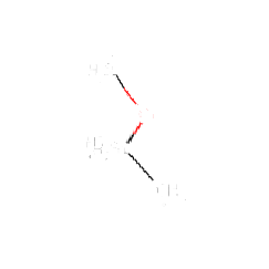 C[SiH2]O[SiH3].[H+]